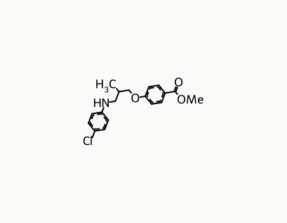 COC(=O)c1ccc(OCC(C)CNc2ccc(Cl)cc2)cc1